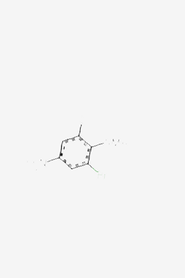 CSc1c(Br)cc([N+](=O)[O-])cc1C(F)(F)F